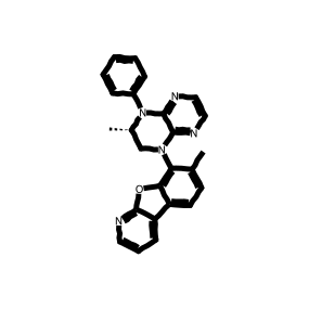 Cc1ccc2c(oc3ncccc32)c1N1C[C@H](C)N(c2ccccc2)c2nccnc21